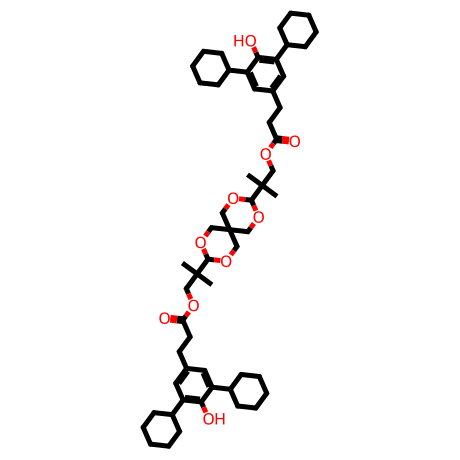 CC(C)(COC(=O)CCc1cc(C2CCCCC2)c(O)c(C2CCCCC2)c1)C1OCC2(CO1)COC(C(C)(C)COC(=O)CCc1cc(C3CCCCC3)c(O)c(C3CCCCC3)c1)OC2